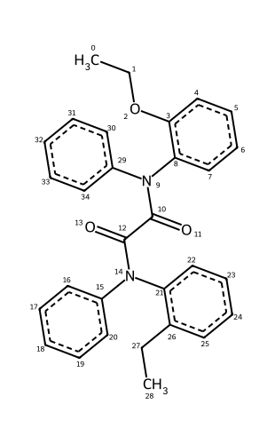 CCOc1ccccc1N(C(=O)C(=O)N(c1ccccc1)c1ccccc1CC)c1ccccc1